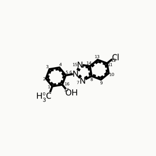 Cc1cccc(-n2nc3ccc(Cl)cc3n2)c1O